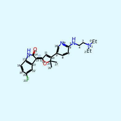 CCN(CC)CCNc1ccc(C2=C/C(=C3\C(=O)Nc4ccc(F)cc43)OC2(C)C)cn1